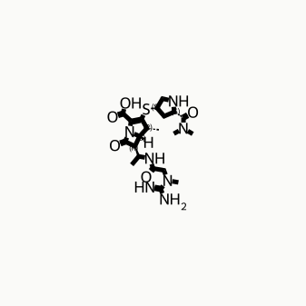 CC(NC(=O)CN(C)C(=N)N)[C@H]1C(=O)N2C(C(=O)O)=C(S[C@@H]3CN[C@H](C(=O)N(C)C)C3)[C@H](C)[C@H]12